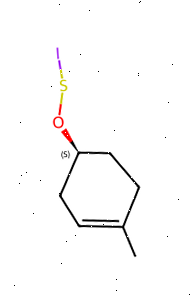 CC1=CC[C@@H](OSI)CC1